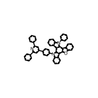 c1ccc(-c2cc(-c3ccc(-n4c5ccccc5c5c6oc7ccccc7c6c6c(c7ccccc7n6-c6ccccc6)c54)cc3)cc(-c3ccccc3)n2)cc1